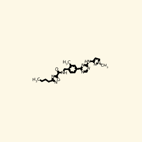 CCCCc1noc(C(=O)NCc2ccc(-c3ncnc(Nc4ccn(C)n4)n3)cc2C)n1